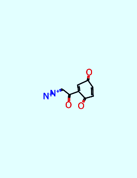 [N-]=[N+]=CC(=O)C1=CC(=O)C=CC1=O